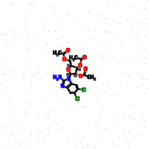 CC(=O)OC[C@@H]1O[C@H](n2c(N)nc3cc(Cl)c(Cl)cc32)[C@@H](OC(C)=O)[C@H]1OC(C)=O